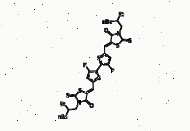 CCCCC(CC)CN1C(=O)/C(=C/c2cc(F)c(-c3sc(/C=C4\SC(=S)N(CC(CC)CCCC)C4=O)cc3F)s2)SC1=S